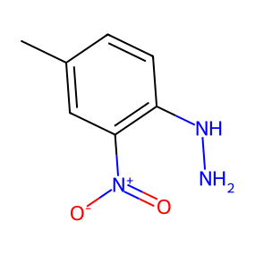 Cc1ccc(NN)c([N+](=O)[O-])c1